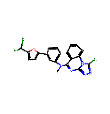 CN(c1cccc(-c2ccc(C(F)F)o2)c1)c1nc2nnc(Cl)n2c2ccccc12